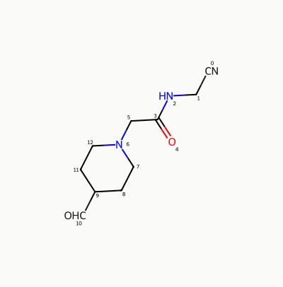 N#CCNC(=O)CN1CCC(C=O)CC1